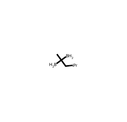 BC(B)(C)CC(C)C